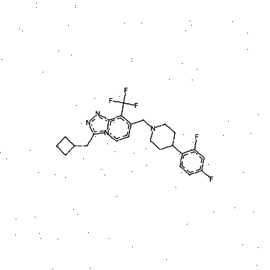 Fc1ccc(C2CCN(Cc3ccn4c(CC5CCC5)nnc4c3C(F)(F)F)CC2)c(F)c1